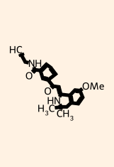 C#CCNC(=O)c1cccc(C(=O)C=C2NC(C)(C)Cc3ccc(OC)cc32)c1